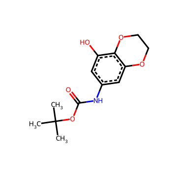 CC(C)(C)OC(=O)Nc1cc(O)c2c(c1)OCCO2